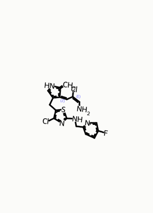 C=c1[nH]cc(Cc2sc(NCc3ccc(F)cn3)nc2Cl)/c1=C/C(Cl)=C\N